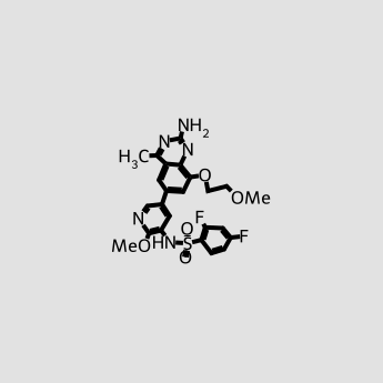 COCCOc1cc(-c2cnc(OC)c(NS(=O)(=O)c3ccc(F)cc3F)c2)cc2c(C)nc(N)nc12